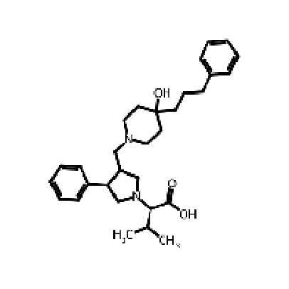 CC(C)[C@H](C(=O)O)N1CC(CN2CCC(O)(CCCc3ccccc3)CC2)C(c2ccccc2)C1